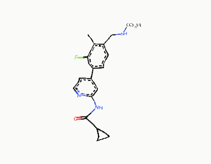 Cc1c(CNC(=O)O)ccc(-c2ccnc(NC(=O)C3CC3)c2)c1F